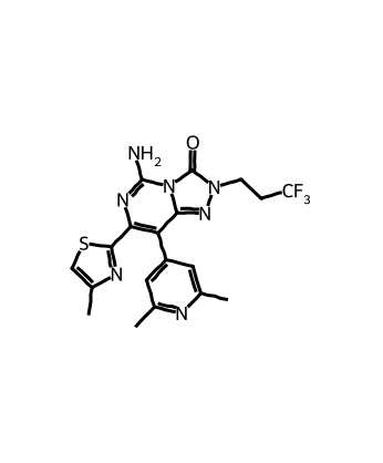 Cc1cc(-c2c(-c3nc(C)cs3)nc(N)n3c(=O)n(CCC(F)(F)F)nc23)cc(C)n1